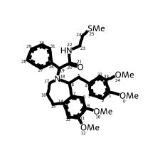 COc1ccc(CC2c3cc(OC)c(OC)cc3CCCN2C(C(=O)NCCSC)c2ccccc2)cc1OC